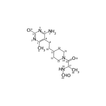 Cc1nc(Cl)nc(N)c1CCC1CCN(C(=O)C(C)NC=O)CC1